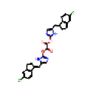 O=C(Oc1ncc(C=C2CCc3cc(Cl)ccc32)[nH]1)C(=O)Oc1ncc(C=C2CCc3cc(Cl)ccc32)[nH]1